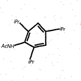 CC(=O)Nc1c(C(C)C)cc(C(C)C)cc1C(C)C